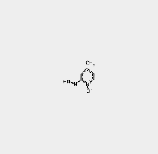 Cc1cc[n+]([O-])c(N=N)c1